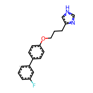 Fc1cc[c]c(-c2ccc(OCCCc3c[nH]cn3)cc2)c1